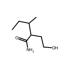 CCC(C)C(CCO)C(N)=O